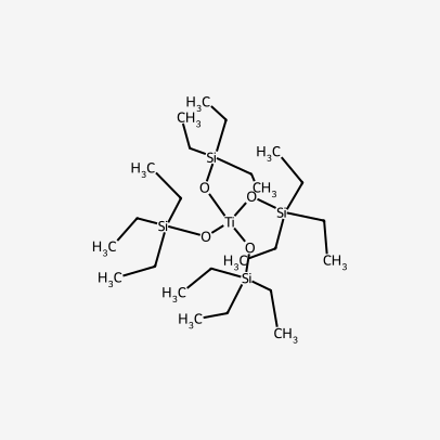 CC[Si](CC)(CC)[O][Ti]([O][Si](CC)(CC)CC)([O][Si](CC)(CC)CC)[O][Si](CC)(CC)CC